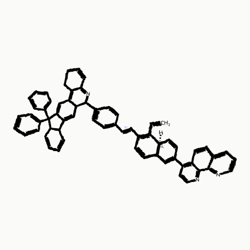 C=CC1=C(/C=C/c2ccc(C3N=C4C=CCCC4=C4C=C5C(=CC43)C3C=CC=CC3C5(c3ccccc3)c3ccccc3)cc2)C=CC2C=C(c3ccnc4c3ccc3cccnc34)C=C[C@H]12